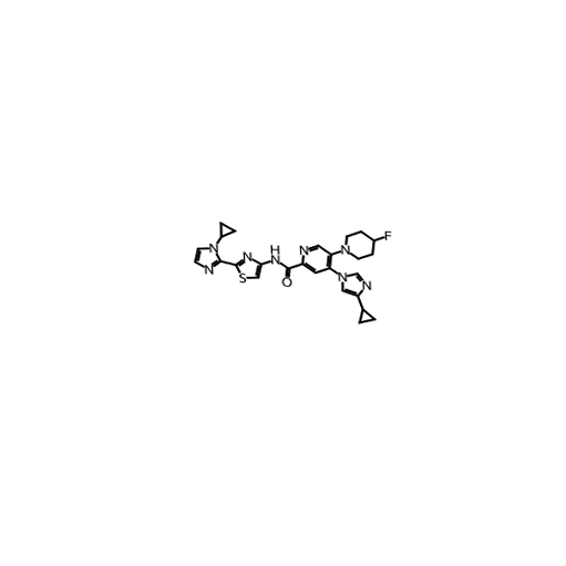 O=C(Nc1csc(-c2nccn2C2CC2)n1)c1cc(-n2cnc(C3CC3)c2)c(N2CCC(F)CC2)cn1